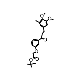 COc1cc(CCC(=O)c2cccc(OCC(=O)OC(C)(C)C)c2)cc(C)c1OC